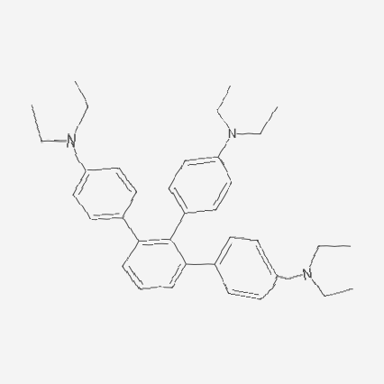 CCN(CC)c1ccc(-c2cccc(-c3ccc(N(CC)CC)cc3)c2-c2ccc(N(CC)CC)cc2)cc1